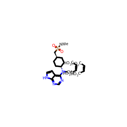 CNS(=O)(=O)C[C@H]1CC[C@H](N(C)c2ncnc3[nH]ccc23)CC1.O=C(O)/C=C\C(=O)O.O=C(O)/C=C\C(=O)O